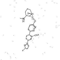 CNC1CCC[C@@]2(F)C1[C@@H]2Oc1ccc(-c2ccc(-n3ccc(F)n3)cc2O)nn1